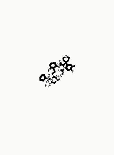 COC(=O)NC(C(=O)Nc1cccc(F)c1CC[C@H]1CNC[C@@H](C)N1S(=O)(=O)c1ccccc1)C1(c2ccc(F)c(F)c2)CCOCC1